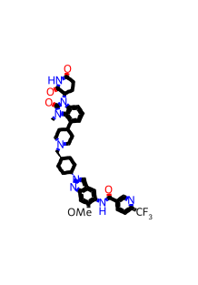 COc1cc2nn([C@H]3CC[C@H](CN4CCC(c5cccc6c5n(C)c(=O)n6C5CCC(=O)NC5=O)CC4)CC3)cc2cc1NC(=O)c1ccc(C(F)(F)F)nc1